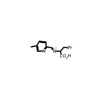 Cc1ccc(/C=N/C(CC(C)C)C(=O)O)nc1